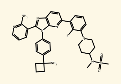 CN(C1CCN(c2cccc(-c3ccc4nc(-c5cccnc5N)n(-c5ccc(C6(N)CCC6)cc5)c4n3)c2F)CC1)S(C)(=O)=O